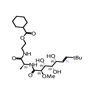 CO[C@@H](C(=O)N[C@@H](C)C(=O)NCCOC(=O)C1CCCCC1)[C@H](O)[C@@H](O)[C@H](O)/C=C/C(C)(C)C